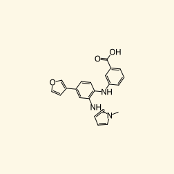 Cn1cccc1.Nc1cc(-c2ccoc2)ccc1Nc1cccc(C(=O)O)c1